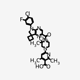 Cc1cc(N2CCN(C(=O)c3cnc4c(n3)C3(CCC3)CN4c3ccc(Cl)c(F)c3)C(C)(C)C2)nc(C)c1C(=O)O